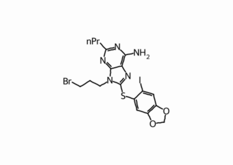 CCCc1nc(N)c2nc(Sc3cc4c(cc3I)OCO4)n(CCCBr)c2n1